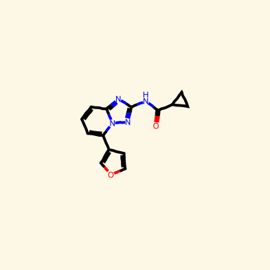 O=C(Nc1nc2cccc(-c3ccoc3)n2n1)C1CC1